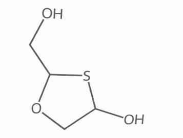 OCC1OCC(O)S1